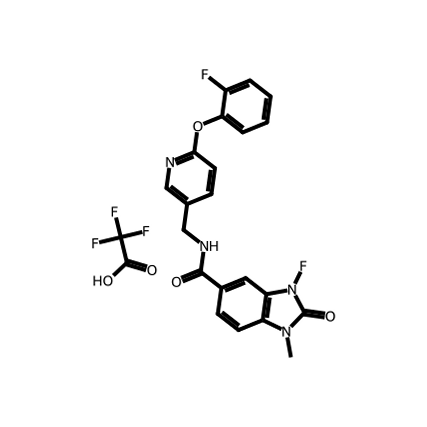 Cn1c(=O)n(F)c2cc(C(=O)NCc3ccc(Oc4ccccc4F)nc3)ccc21.O=C(O)C(F)(F)F